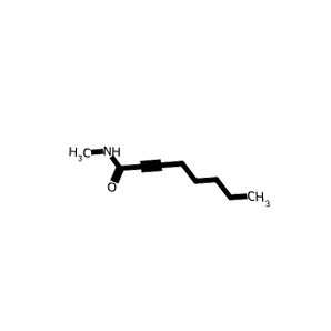 CCCCCC#CC(=O)NC